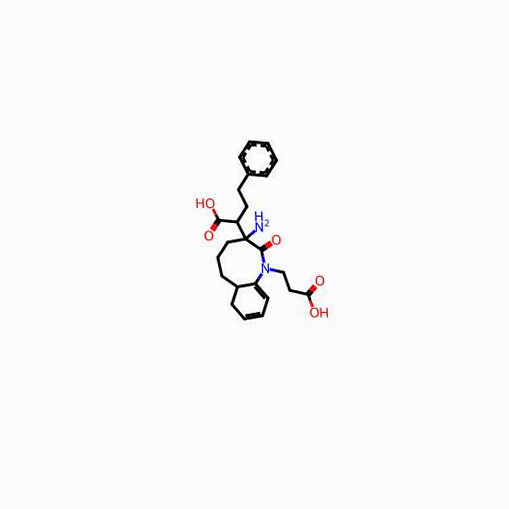 NC1(C(CCc2ccccc2)C(=O)O)CCCC2CC=CC=C2N(CCC(=O)O)C1=O